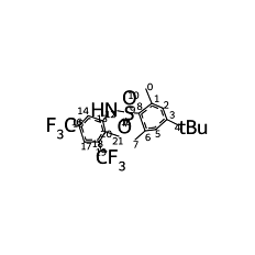 Cc1cc(C(C)(C)C)cc(C)c1S(=O)(=O)Nc1cc(C(F)(F)F)cc(C(F)(F)F)c1C